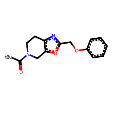 CC(C)(C)C(=O)N1CCc2nc(COc3ccccc3)oc2C1